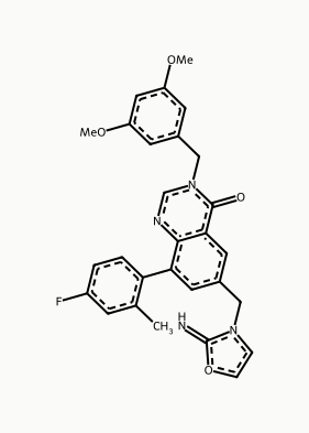 COc1cc(Cn2cnc3c(-c4ccc(F)cc4C)cc(Cn4ccoc4=N)cc3c2=O)cc(OC)c1